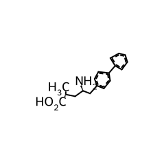 C[C@H](C[C@@H](N)Cc1ccc(-c2ccccc2)cc1)C(=O)O